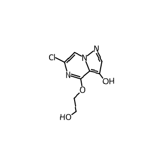 OCCOc1nc(Cl)cn2ncc(O)c12